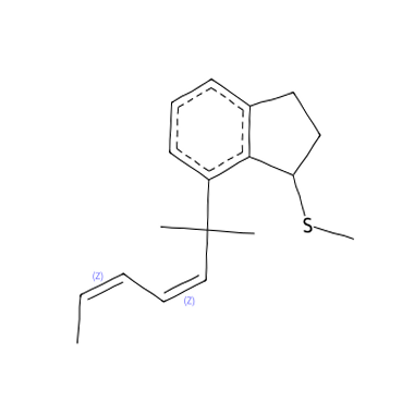 C/C=C\C=C/C(C)(C)c1cccc2c1C(SC)CC2